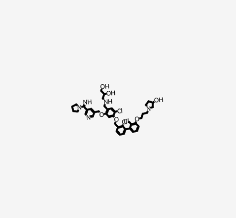 N=C(c1cncc(COc2cc(OCc3cccc(-c4cccc(OCCCN5CCC(O)C5)c4Cl)c3Cl)c(Cl)cc2CNCC(O)CO)c1)N1CCCC1